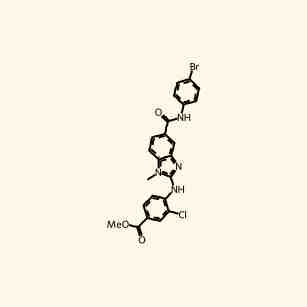 COC(=O)c1ccc(Nc2nc3cc(C(=O)Nc4ccc(Br)cc4)ccc3n2C)c(Cl)c1